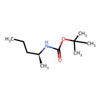 CCC[C@H](C)NC(=O)OC(C)(C)C